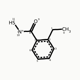 CCc1ccccc1C(=O)[N+]S